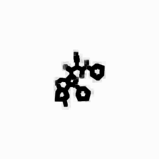 Cc1ccc2c(c1)-c1c(c(C(=O)C(C#N)C(=O)Nc3ccccc3)nn1-c1ccccc1)CS2